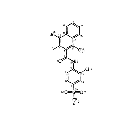 Cc1c(C(=O)Nc2ccc(S(=O)(=O)C(F)(F)F)cc2Cl)c(O)c2ccccc2c1Br